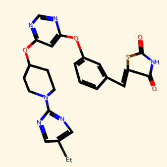 CCc1cnc(N2CCC(Oc3cc(Oc4cccc(/C=C5\SC(=O)NC5=O)c4)ncn3)CC2)nc1